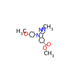 CCOC(=O)c1ccc2c(c1)c1cn(C)nc1n2-c1ccc(OC)cc1